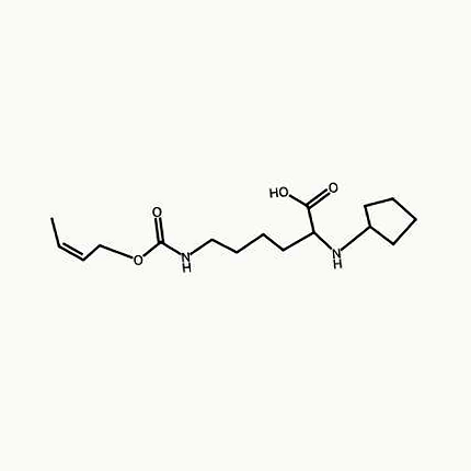 C/C=C\COC(=O)NCCCCC(NC1CCCC1)C(=O)O